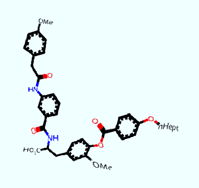 CCCCCCCOc1ccc(C(=O)Oc2ccc(CC(NC(=O)c3cccc(NC(=O)Cc4ccc(OC)cc4)c3)C(=O)O)cc2OC)cc1